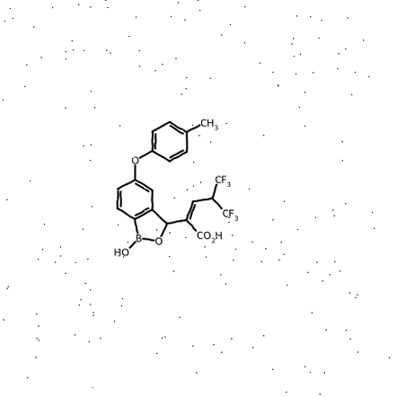 Cc1ccc(Oc2ccc3c(c2)C(C(=CC(C(F)(F)F)C(F)(F)F)C(=O)O)OB3O)cc1